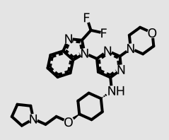 FC(F)c1nc2ccccc2n1-c1cc(N[C@H]2CC[C@H](OCCN3CCCC3)CC2)nc(N2CCOCC2)n1